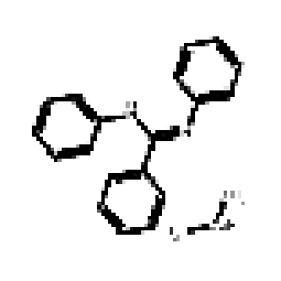 [CH3][GaH][CH3].c1ccc(N=C(Nc2ccccc2)c2ccccc2)cc1